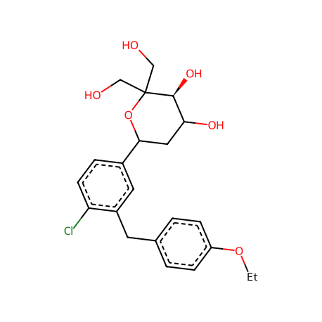 CCOc1ccc(Cc2cc(C3CC(O)[C@H](O)C(CO)(CO)O3)ccc2Cl)cc1